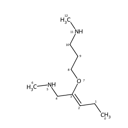 CC/C=C(/CNC)OCCCNC